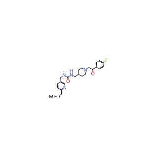 COCc1ccc(CN(C)C(=O)NCC2CCN(CC(=O)c3ccc(F)cc3)CC2)cn1